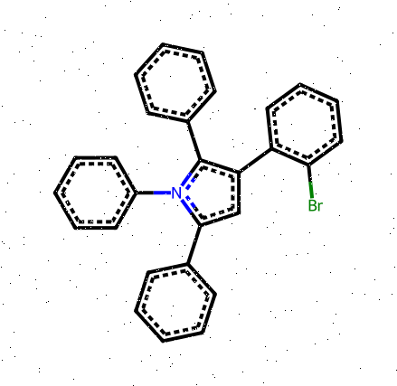 Brc1ccccc1-c1cc(-c2ccccc2)n(-c2ccccc2)c1-c1ccccc1